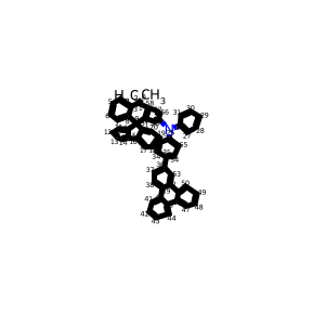 CC1(C)c2ccccc2C2(c3ccccc3-c3ccccc32)c2cc(N(c3ccccc3)c3ccc(-c4ccc5c6ccccc6c6ccccc6c5c4)cc3)ccc21